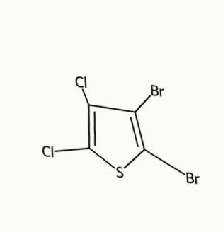 Clc1sc(Br)c(Br)c1Cl